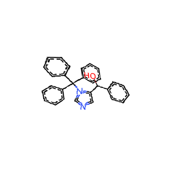 OC(c1ccccc1)c1cncn1C(c1ccccc1)(c1ccccc1)c1ccccc1